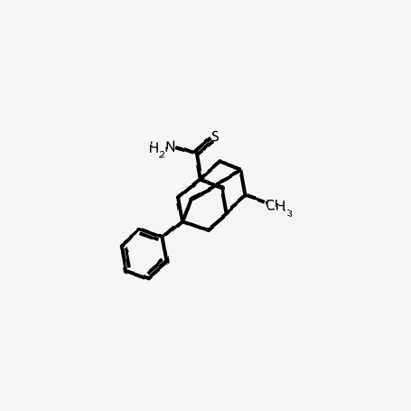 CC1C2CC3(C(N)=S)CC1CC(c1ccccc1)(C2)C3